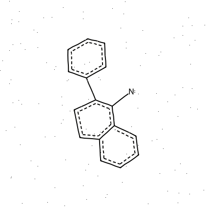 [N]c1c(-c2ccccc2)ccc2ccccc12